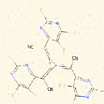 Cc1nc(F)c(F)c(/C(C#N)=C2/C(=C(C#N)c3nc(F)nc(F)c3F)/C2=C(/C#N)c2nc(F)nc(F)c2F)n1